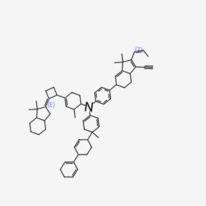 C#CC1=C(/C=C\C)C(C)(C)C2=CC(c3ccc(N(C4=CCC(C)(C5C=CC(C6=CCCC=C6)CC5)C=C4)C4CCC(C5CC/C5=C5/CC6CCCCC6C5(C)C)=CC4C)cc3)CCC21